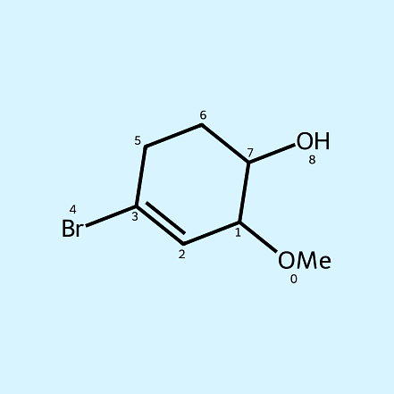 COC1C=C(Br)CCC1O